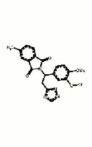 CCOc1cc(C(Cc2nnco2)N2C(=O)c3ccc(C)cc3C2=O)ccc1OC